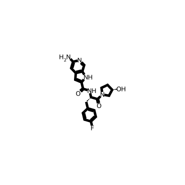 Nc1cc2cc(C(=O)N[C@@H](Cc3ccc(F)cc3)C(=O)N3CC[C@H](O)C3)[nH]c2cn1